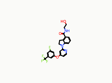 O=C(NCCO)c1cccc2c1CCN2c1cc(Oc2cc(F)cc(C(F)(F)F)c2)ccn1